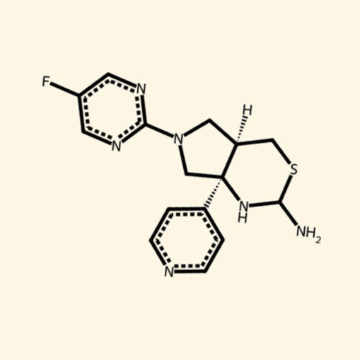 NC1N[C@@]2(c3ccncc3)CN(c3ncc(F)cn3)C[C@H]2CS1